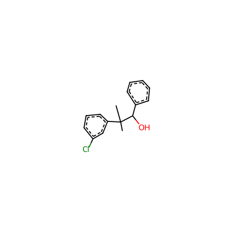 CC(C)(c1cccc(Cl)c1)C(O)c1ccccc1